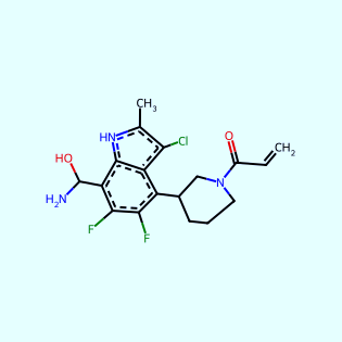 C=CC(=O)N1CCCC(c2c(F)c(F)c(C(N)O)c3[nH]c(C)c(Cl)c23)C1